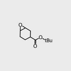 CC(C)(C)OC(=O)C1CCC2OC2C1